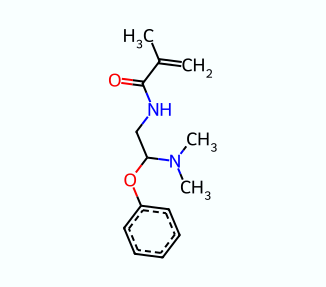 C=C(C)C(=O)NCC(Oc1ccccc1)N(C)C